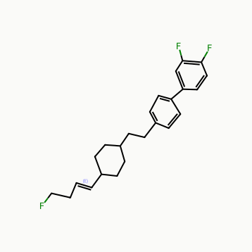 FCC/C=C/C1CCC(CCc2ccc(-c3ccc(F)c(F)c3)cc2)CC1